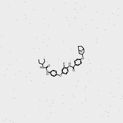 CCC(CC)NC(=O)Nc1ccc(Oc2ccc(NC(=O)c3ccc(OC4CC5CCC(C4)N5C)cc3)c(F)c2)cc1